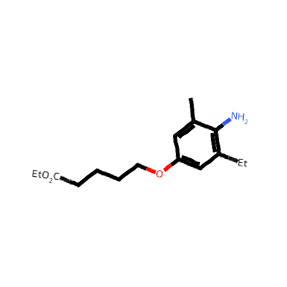 CCOC(=O)CCCCOc1cc(C)c(N)c(CC)c1